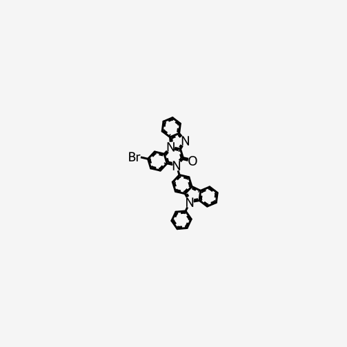 O=c1c2nc3ccccc3n2c2cc(Br)ccc2n1-c1ccc2c(c1)c1ccccc1n2-c1ccccc1